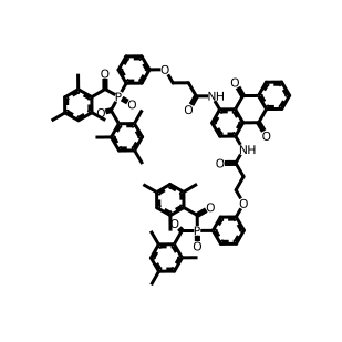 Cc1cc(C)c(C(=O)P(=O)(C(=O)c2c(C)cc(C)cc2C)c2cccc(OCCC(=O)Nc3ccc(NC(=O)CCOc4cccc(P(=O)(C(=O)c5c(C)cc(C)cc5C)C(=O)c5c(C)cc(C)cc5C)c4)c4c3C(=O)c3ccccc3C4=O)c2)c(C)c1